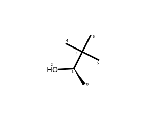 C[C@@H](O)C(C)(C)C